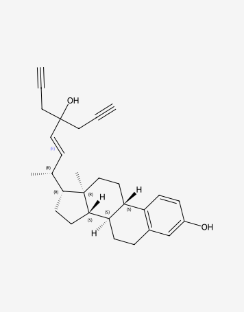 C#CCC(O)(/C=C/[C@@H](C)[C@H]1CC[C@H]2[C@@H]3CCc4cc(O)ccc4[C@H]3CC[C@]12C)CC#C